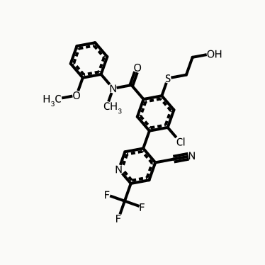 COc1ccccc1N(C)C(=O)c1cc(-c2cnc(C(F)(F)F)cc2C#N)c(Cl)cc1SCCO